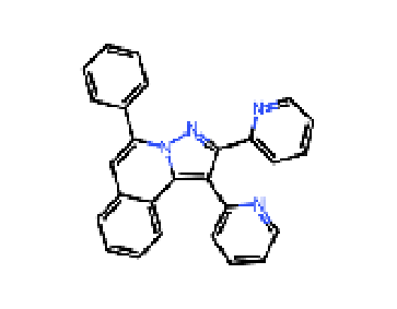 c1ccc(-c2cc3ccccc3c3c(-c4ccccn4)c(-c4ccccn4)nn23)cc1